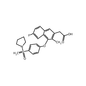 C=S(=O)(c1ccc(Oc2c(C)c(CC(=O)O)cc3ccc(F)cc23)cc1)N1CCCC1